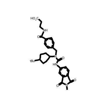 CN1C(=O)c2ccc(NC(=O)N(Cc3ccc(C(=O)NCCC(=O)O)cc3)C3CCC(C(C)(C)C)CC3)cc2C1=O